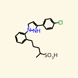 CC(CCCc1ccccc1N1CC=C(c2ccc(Cl)cc2)N1)S(=O)(=O)O